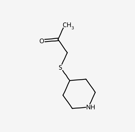 CC(=O)CSC1CCNCC1